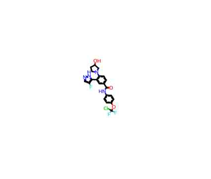 O=C(Nc1ccc(OC(F)(F)Cl)cc1)c1ccc(N2CCC(O)C2)c(-c2[nH]ncc2F)c1